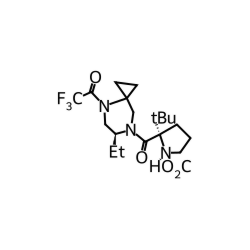 CC[C@H]1CN(C(=O)C(F)(F)F)C2(CC2)CN1C(=O)[C@@]1(C(C)(C)C)CCCN1C(=O)O